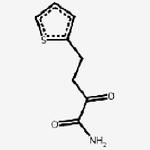 NC(=O)C(=O)CCc1cccs1